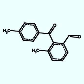 Cc1ccc(C(=O)c2c(C)cccc2[C]=O)cc1